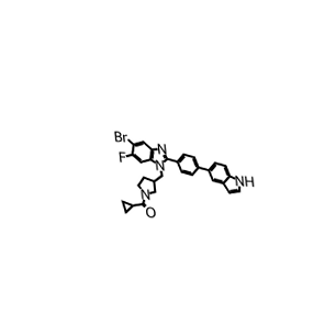 O=C(C1CC1)N1CCC(Cn2c(-c3ccc(-c4ccc5[nH]ccc5c4)cc3)nc3cc(Br)c(F)cc32)C1